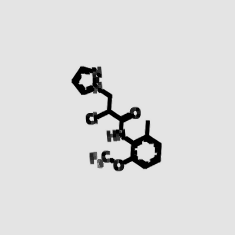 Cc1cccc(OC(F)(F)F)c1NC(=O)C(Cl)Cn1cccn1